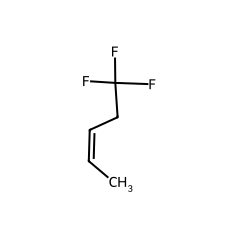 C/C=C\CC(F)(F)F